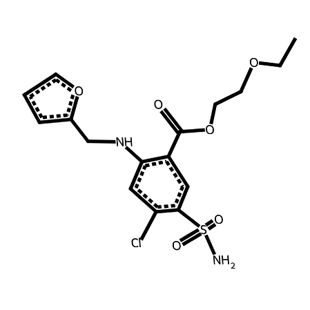 CCOCCOC(=O)c1cc(S(N)(=O)=O)c(Cl)cc1NCc1ccco1